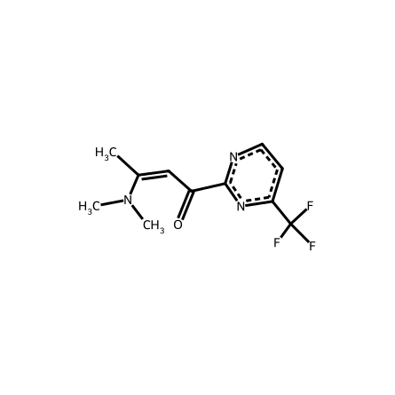 CC(=CC(=O)c1nccc(C(F)(F)F)n1)N(C)C